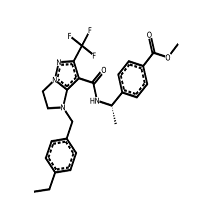 CCc1ccc(CN2CCn3nc(C(F)(F)F)c(C(=O)N[C@@H](C)c4ccc(C(=O)OC)cc4)c32)cc1